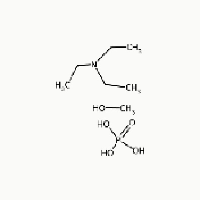 CCN(CC)CC.CO.O=P(O)(O)O